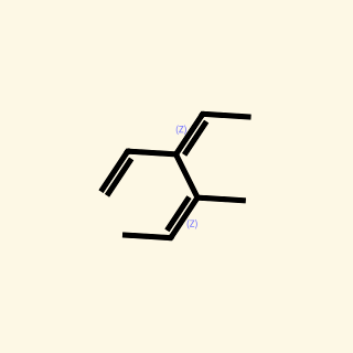 C=CC(=C/C)/C(C)=C\C